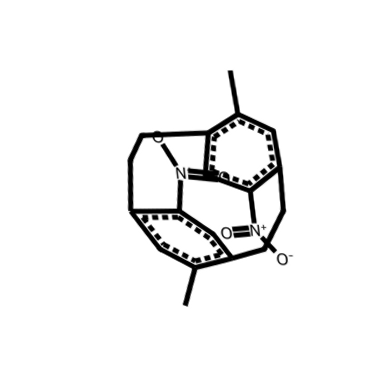 Cc1cc2c([N+](=O)[O-])cc1CCc1cc(C)c(cc1[N+](=O)[O-])CC2